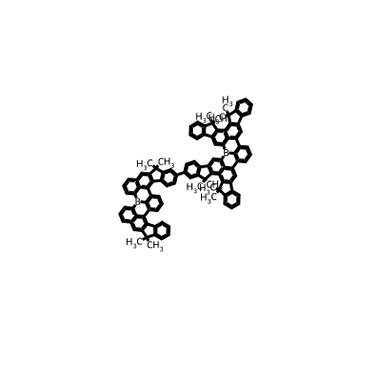 CC1(C)c2ccccc2-c2c1cc1cccc3c1c2-c1cccc2c1B3c1cccc3cc4c(c-2c13)-c1ccc(-c2ccc3c(c2)C(C)(C)c2c-3cc3c5c(cc6c(c25)C(C)(C)c2ccccc2-6)-c2cccc5c2B3c2cc3c(c6c7c(cc-5c26)-c2ccccc2C7(C)C)C(C)(C)c2ccccc2-3)cc1C4(C)C